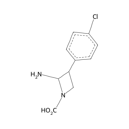 NC1C(c2ccc(Cl)cc2)CN1C(=O)O